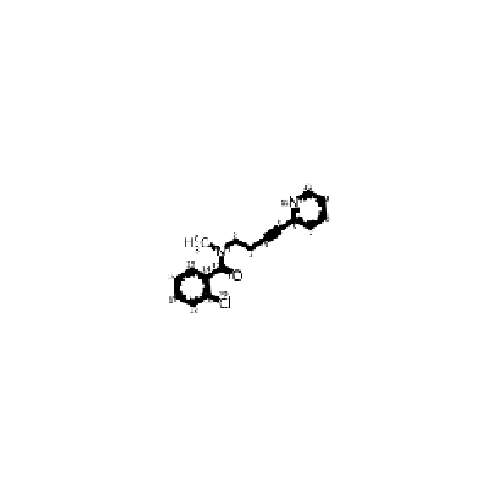 CN(CCC#Cc1ccccn1)C(=O)c1ccccc1Cl